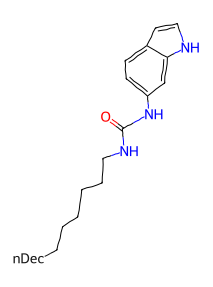 CCCCCCCCCCCCCCCCNC(=O)Nc1ccc2cc[nH]c2c1